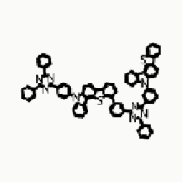 c1ccc(-c2nc(-c3ccccc3)nc(-c3ccc(-n4c5ccccc5c5c6sc7c(-c8cccc(-c9nc(-c%10ccccc%10)nc(-c%10cccc(-n%11c%12ccccc%12c%12c%13sc%14ccccc%14c%13ccc%12%11)c%10)n9)c8)cccc7c6ccc54)cc3)n2)cc1